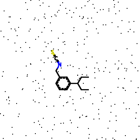 CCC(CC)c1cccc(CN=C=S)c1